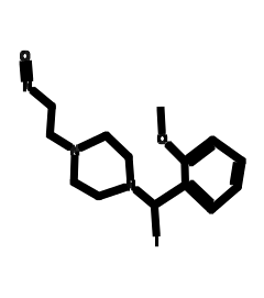 COc1ccccc1C(I)N1CCN(CCN=O)CC1